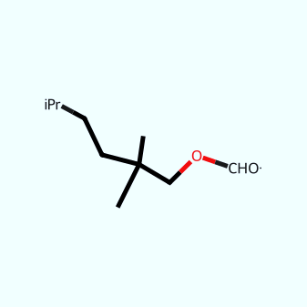 CC(C)CCC(C)(C)CO[C]=O